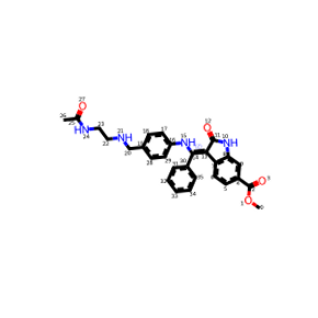 COC(=O)c1ccc2c(c1)NC(=O)/C2=C(\Nc1ccc(CNCCNC(C)=O)cc1)c1ccccc1